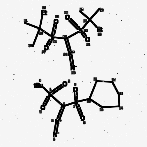 CC(C)(C)S(=O)(=O)C(=[N+]=[N-])S(=O)(=O)C1CCCCC1.CCC(C)(C)S(=O)(=O)C(=[N+]=[N-])S(=O)(=O)C(C)(C)CC